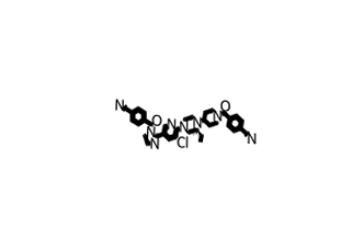 CC[C@H]1CN(c2ncc(C3=NCCN3C(=O)c3ccc(C#N)cc3)cc2Cl)CCN1C1CCN(C(=O)c2ccc(C#N)cc2)CC1